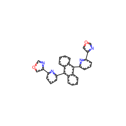 c1cc(-c2cocn2)nc(-c2c3ccccc3c(-c3cccc(-c4cocn4)n3)c3ccccc23)c1